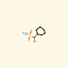 NS(=O)(=O)C(Br)c1ccccc1